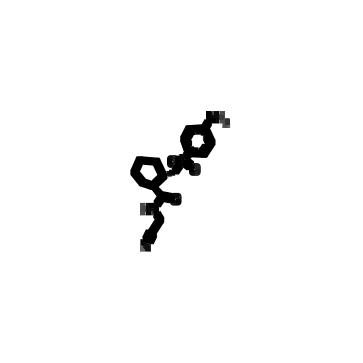 N#CCNC(=O)[C@H]1CCCC[C@@H]1CS(=O)(=O)c1ccc(N)cc1